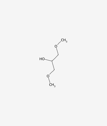 COC[C](O)COC